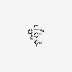 Cc1cc(NC2(N(C)c3ccno3)C=CNC(c3ccccc3C#N)=N2)n[nH]1